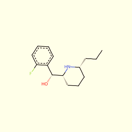 CCC[C@@H]1CCC[C@H]([C@H](O)c2ccccc2F)N1